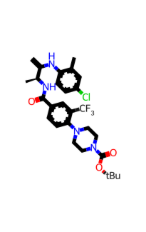 C=C(Nc1ccc(Cl)cc1C)[C@H](C)NC(=O)c1ccc(N2CCN(C(=O)OC(C)(C)C)CC2)c(C(F)(F)F)c1